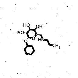 CCCNC[C@H]1O[C@H](OC2CCCCC2)[C@H](O)[C@@H](O)[C@H]1O